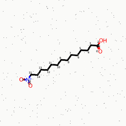 O=C(O)CCCCCCCCCCCCC[N+](=O)[O-]